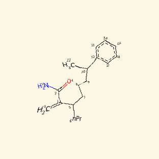 C=C(C(N)=O)C(CCC)CCCC(C)c1ccccc1